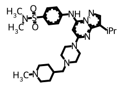 CC(C)c1cnn2c(Nc3ccc(S(=O)(=O)N(C)C)cc3)cc(N3CCN(CC4CCN(C)CC4)CC3)nc12